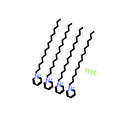 CCCCCCCCCCCCCCCC[n+]1ccccc1.CCCCCCCCCCCCCCCC[n+]1ccccc1.CCCCCCCCCCCCCCCC[n+]1ccccc1.CCCCCCCCCCCCCCCC[n+]1ccccc1.[F-].[F-].[F-].[F-]